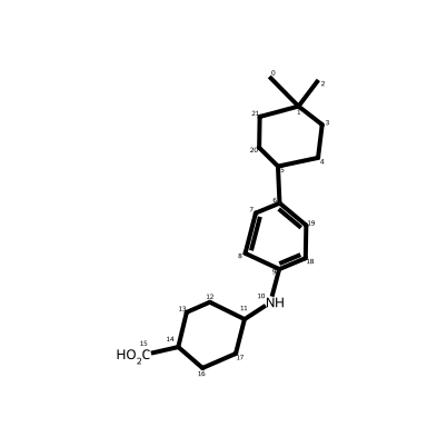 CC1(C)CCC(c2ccc(NC3CCC(C(=O)O)CC3)cc2)CC1